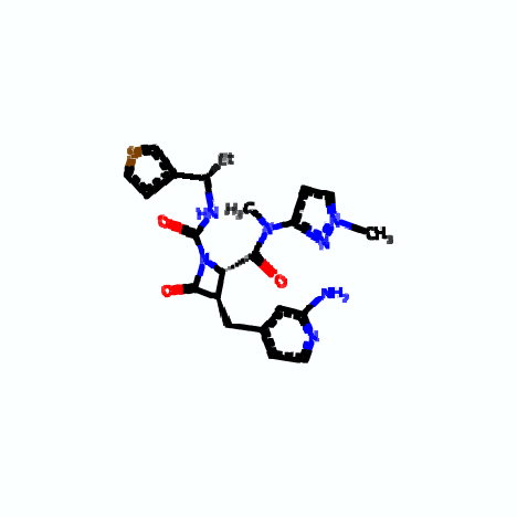 CC[C@@H](NC(=O)N1C(=O)[C@H](Cc2ccnc(N)c2)[C@H]1C(=O)N(C)c1ccn(C)n1)c1ccsc1